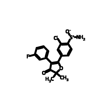 CC1(C)OC(c2ccc([S+](N)[O-])c(Cl)c2)=C(c2cccc(F)c2)C1=O